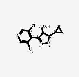 O=C(O)C1C(c2c(Cl)cncc2Cl)=NOC1C1CC1